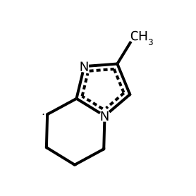 Cc1cn2c(n1)[CH]CCC2